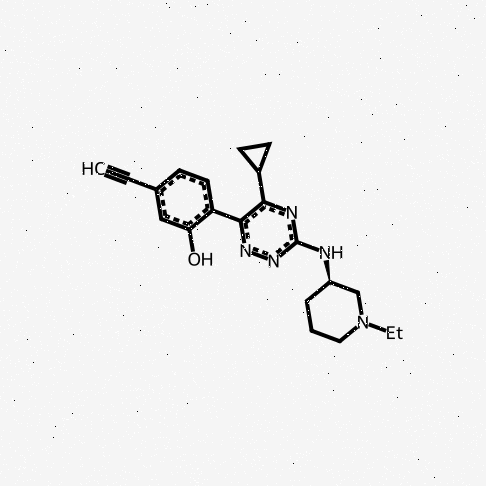 C#Cc1ccc(-c2nnc(N[C@@H]3CCCN(CC)C3)nc2C2CC2)c(O)c1